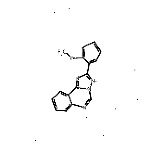 FC(F)(F)Oc1ccccc1-c1nc2c3ccccc3ncn2n1